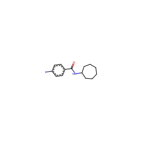 O=C(NC1CCCCCC1)c1ccc(I)cc1